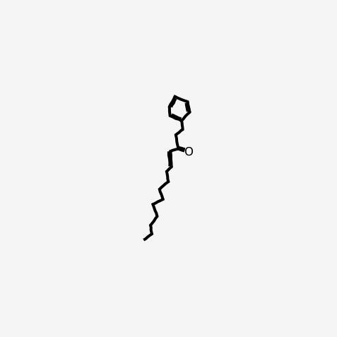 CCCCCCCCCC=CC(=O)CCc1ccccc1